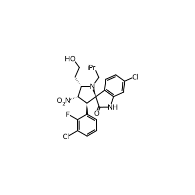 CC(C)CN1[C@@H](CCO)[C@@H]([N+](=O)[O-])[C@H](c2cccc(Cl)c2F)[C@]12C(=O)Nc1cc(Cl)ccc12